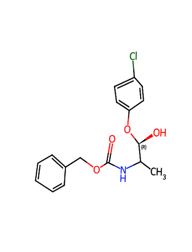 CC(NC(=O)OCc1ccccc1)[C@H](O)Oc1ccc(Cl)cc1